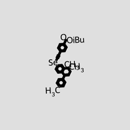 Cc1ccc(C2=CCC(C)(C)c3cc([Se]C#Cc4ccc(C(=O)OCC(C)C)cc4)ccc32)cc1